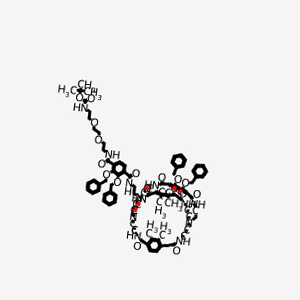 Cc1c2ccc(c1C)C(=O)NCCN1CCNC(=O)c3ccc(c(C)c3C)C(=O)NCCN(CCNC2=O)CCNC(=O)c2ccc(c(OCc3ccccc3)c2OCc2ccccc2)C(=O)NCCN(CCNC(=O)c2ccc(C(=O)NCCOCCOCCNC(=O)OC(C)(C)C)c(OCc3ccccc3)c2OCc2ccccc2)CC1